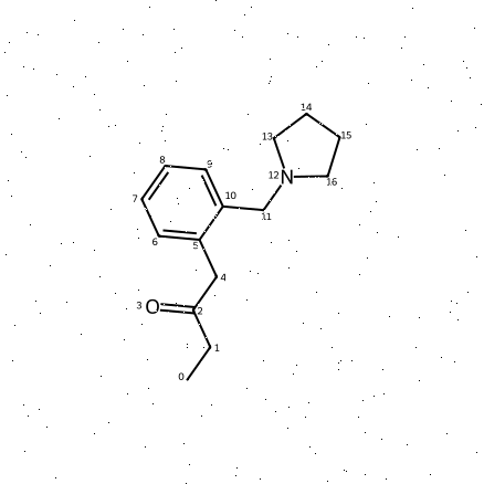 CCC(=O)Cc1ccccc1CN1CCCC1